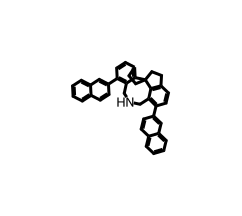 c1ccc2cc(-c3ccc4c5c3CNCc3c(-c6ccc7ccccc7c6)ccc6c3C5(CC4)CC6)ccc2c1